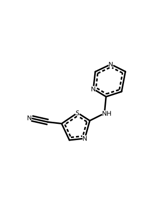 N#Cc1cnc(Nc2ccncn2)s1